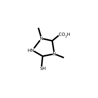 CN1NC(S)N(C)C1C(=O)O